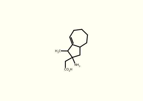 CC1C2=CCCCCC2CC1(N)CC(=O)O